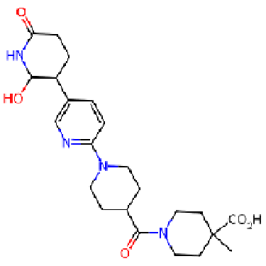 CC1(C(=O)O)CCN(C(=O)C2CCN(c3ccc(C4CCC(=O)NC4O)cn3)CC2)CC1